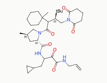 C=CCNC(=O)C(=O)C(CC1CC1)NC(=O)[C@@H]1C[C@@H](C)CN1C(=O)C([C@H](CN1C(=O)CCCC1=O)C(C)(C)C)C1(C)CCCCC1